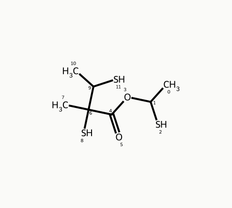 CC(S)OC(=O)C(C)(S)C(C)S